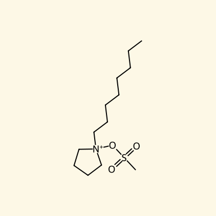 CCCCCCCC[N+]1(OS(C)(=O)=O)CCCC1